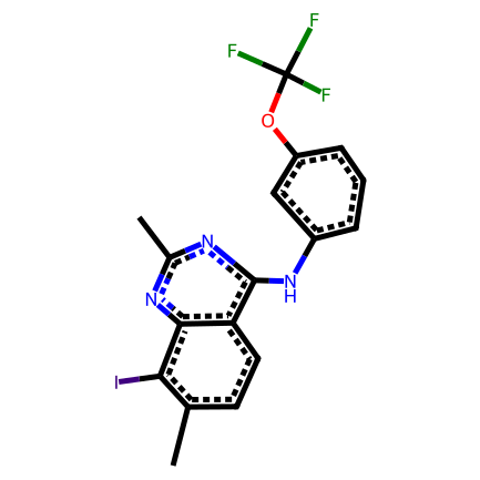 Cc1nc(Nc2cccc(OC(F)(F)F)c2)c2ccc(C)c(I)c2n1